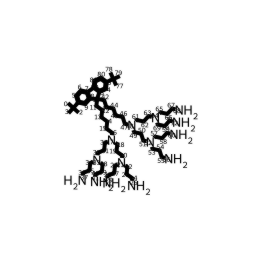 CC(C)(C)c1ccc2c(c1)C(CCCCCCN(CCCN(CCCN)CCCN)CCCN(CCCN)CCCN)(CCCCCCN(CCCN(CCCN)CCCN)CCCN(CCCN)CCCN)c1cc(C(C)(C)C)ccc1-2